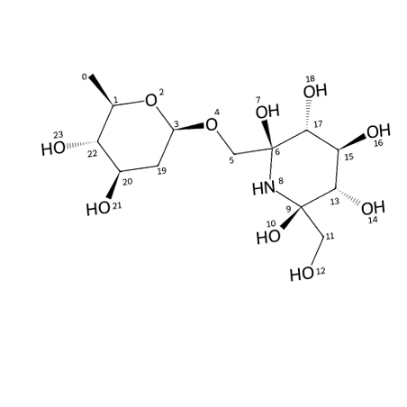 C[C@H]1O[C@@H](OC[C@@]2(O)N[C@@](O)(CO)[C@@H](O)[C@H](O)[C@H]2O)C[C@@H](O)[C@@H]1O